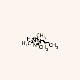 CC/C=C/N(/C(C)=N\C(C)C)C(C)C